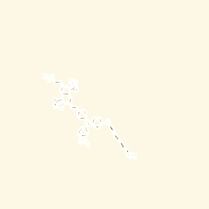 C#CC#CC#CC#COc1ccc(N(c2ccc(C)cc2)c2ccc(C=Cc3cc4c(cc(C=CC)c5nsnc54)c4nsnc34)cc2)cc1